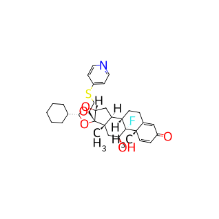 C[C@]12C=CC(=O)C=C1CC[C@H]1[C@@H]3C[C@H]4O[C@@H](C5CCCCC5)O[C@@]4(C(=O)CSc4ccncc4)[C@@]3(C)C[C@H](O)[C@@]12F